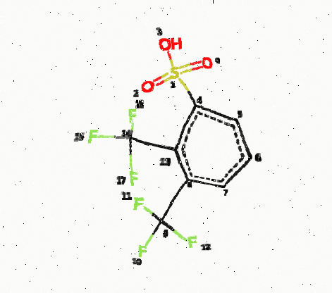 O=S(=O)(O)c1cccc(C(F)(F)F)c1C(F)(F)F